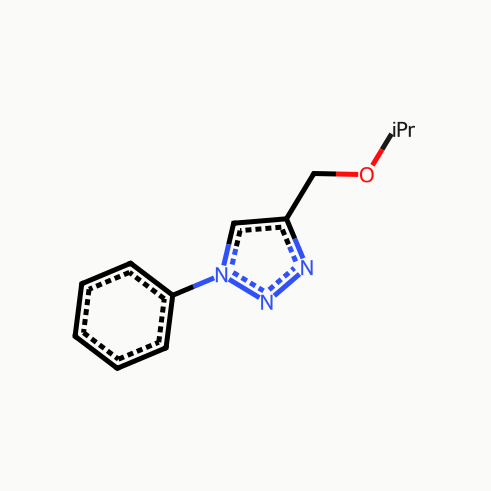 CC(C)OCc1cn(-c2ccccc2)nn1